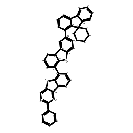 c1ccc(-c2ncc3sc4c(-c5cccc6c5sc5ccc(-c7cccc8c7C7(CCCCC7)c7ccccc7-8)cc56)cccc4c3n2)cc1